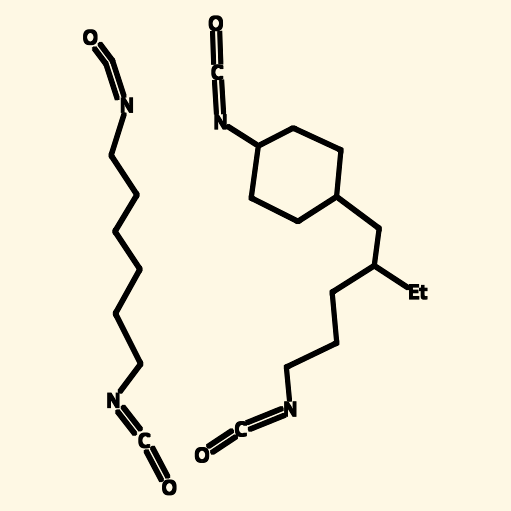 CCC(CCCN=C=O)CC1CCC(N=C=O)CC1.O=C=NCCCCCCN=C=O